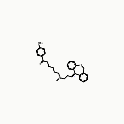 CN(CC/C=C1/c2ccccc2COc2ccccc21)CCCCCC(=O)c1ccc(C(C)(C)C)cc1